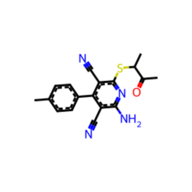 CC(=O)C(C)Sc1nc(N)c(C#N)c(-c2ccc(C)cc2)c1C#N